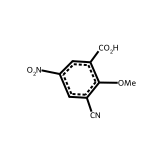 COc1c(C#N)cc([N+](=O)[O-])cc1C(=O)O